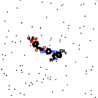 Cc1ccc2nc(C(C)C)cc(NC3CCC(NC(=O)CCC(=O)c4ccc(S(C)(=O)=O)cc4)CC3)c2c1